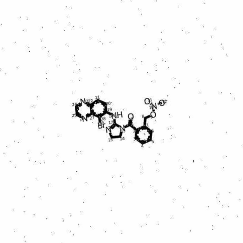 O=C(c1ccccc1CO[N+](=O)[O-])N1CCN=C1Nc1ccc2nccnc2c1Br